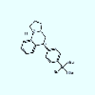 CCC[CH2][Sn]([CH2]CCC)([CH2]CCC)[c]1ccc([C@@H]2CN3CCC[C@@H]3c3ccccc32)cc1